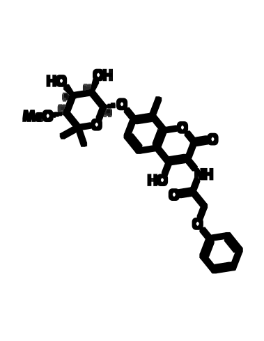 CO[C@@H]1[C@@H](O)[C@@H](O)[C@H](Oc2ccc3c(O)c(NC(=O)COc4ccccc4)c(=O)oc3c2C)OC1(C)C